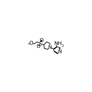 COCCS(=O)(=O)C1CCN(c2ccncc2N)CC1